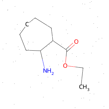 CCOC(=O)C1CCCCCC1N